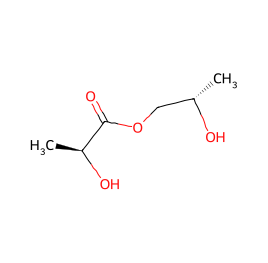 C[C@H](O)COC(=O)[C@H](C)O